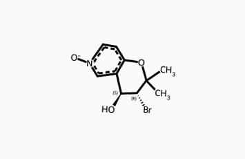 CC1(C)Oc2cc[n+]([O-])cc2[C@H](O)[C@H]1Br